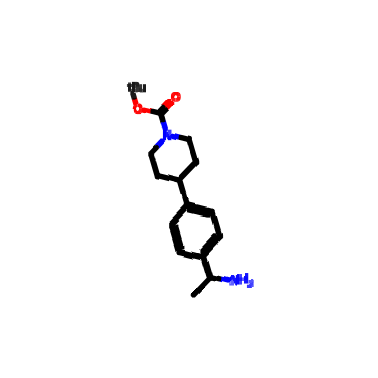 CC(N)c1ccc(C2CCN(C(=O)OC(C)(C)C)CC2)cc1